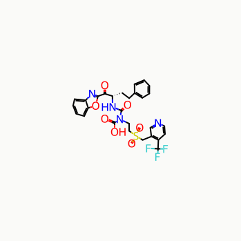 O=C(c1nc2ccccc2o1)[C@H](CCc1ccccc1)NC(=O)N(CCS(=O)(=O)Cc1cnccc1C(F)(F)F)C(=O)O